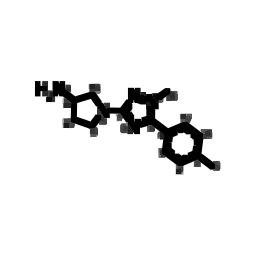 Cc1ccc(-c2nc(N3CCC(N)C3)nn2C)cc1